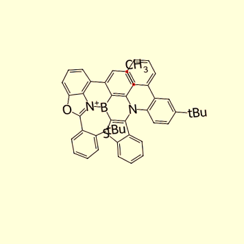 Cc1cc2c3c(c1)N(c1ccc(C(C)(C)C)cc1-c1ccccc1)c1c(sc4ccccc14)B3[n+]1c(-c3ccccc3C(C)(C)C)oc3cccc-2c31